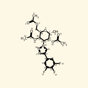 CC(=O)OC[C@H]1O[C@H](O)[C@H](OC(C)=O)[C@@H](n2cc(-c3cc(F)c(F)c(F)c3)nn2)[C@H]1OC(C)=O